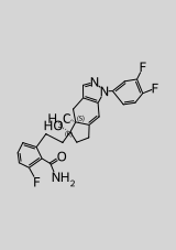 C[C@]12Cc3cnn(-c4ccc(F)c(F)c4)c3C=C1CC[C@@]2(O)CCc1cccc(F)c1C(N)=O